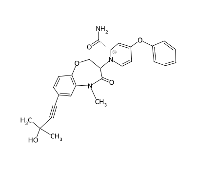 CN1C(=O)C(N2C=CC(Oc3ccccc3)=C[C@H]2C(N)=O)COc2ccc(C#CC(C)(C)O)cc21